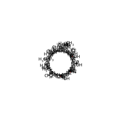 CCCC[C@H]1CN[C@@H](CC(C)C)C(=O)N[C@H](C(N)=O)C(C)(C)SCC(=O)N[C@@H](Cc2ccc(Cl)cc2)C(=O)N2CCCC[C@H]2C(=O)N[C@@H](CC(=O)O)C(=O)N2CCC[C@H]2C(=O)N[C@@H](Cc2cnc[nH]2)C(=O)N[C@@H](CCC(=O)O)C(=O)N2C[C@H](O)C[C@H]2C(=O)N[C@@H](Cc2c[nH]c3ccccc23)C(=O)N[C@@H](CCN)C(=O)N[C@@H](Cc2cn(CC(=O)NS(C)(=O)=O)c3ccccc23)C(=O)N(C)[C@@H](CCCC)C(=O)N1C